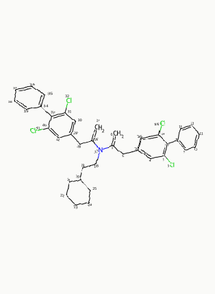 C=C(Cc1cc(Cl)c(-c2ccccc2)c(Cl)c1)N(CCC1CCCCC1)C(=C)Cc1cc(Cl)c(-c2ccccc2)c(Cl)c1